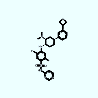 CN(C)[C@H]1C[C@@H](c2cccc(C3COC3)c2)CC[C@@H]1Nc1cc(F)c(S(=O)(=O)Nc2ccncn2)cc1Cl